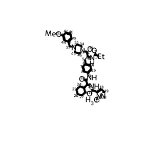 CCC(=O)N[C@H](Cc1ccc(NC(=O)C(NC(=O)c2ccnn2C)C2CCCCC2)cc1)C(=O)N1CCN(Cc2cccc(OC)c2)CC1